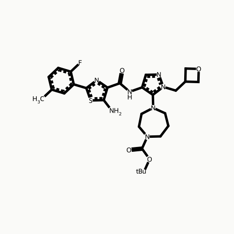 Cc1ccc(F)c(-c2nc(C(=O)Nc3cnn(CC4COC4)c3N3CCCN(C(=O)OC(C)(C)C)CC3)c(N)s2)c1